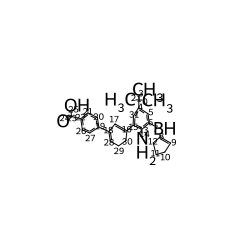 CC(C)(C)c1cc(BC2=CCCC2)c(N)c(C2=CC(c3ccc(C(=O)O)cc3)=CCC2)c1